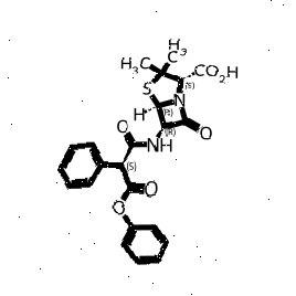 CC1(C)S[C@@H]2[C@H](NC(=O)[C@@H](C(=O)Oc3ccccc3)c3ccccc3)C(=O)N2[C@H]1C(=O)O